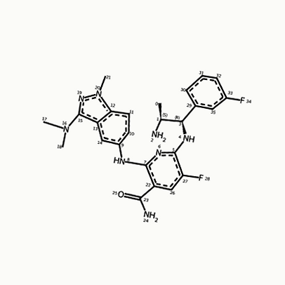 C[C@H](N)[C@H](Nc1nc(Nc2ccc3c(c2)c(N(C)C)nn3C)c(C(N)=O)cc1F)c1cccc(F)c1